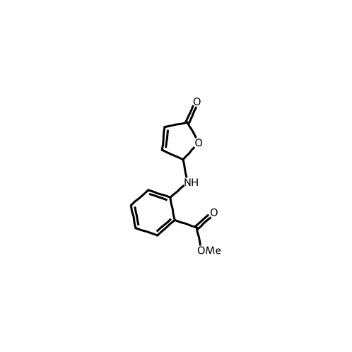 COC(=O)c1ccccc1NC1C=CC(=O)O1